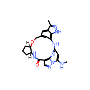 CNc1cc2nc3c(cnn13)C(=O)N[C@@H]1CCC[C@H]1OCc1cc(c3[nH]nc(C)c3c1)N2